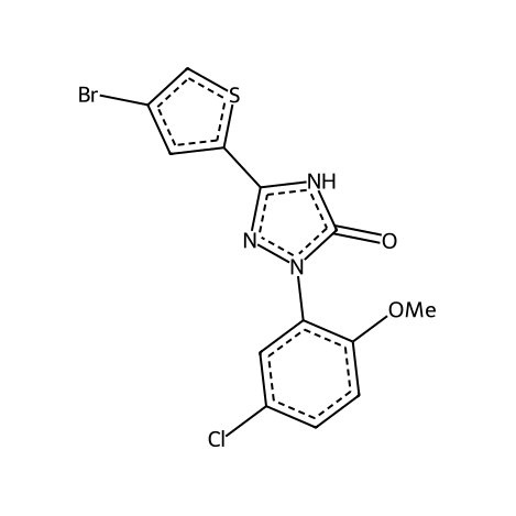 COc1ccc(Cl)cc1-n1nc(-c2cc(Br)cs2)[nH]c1=O